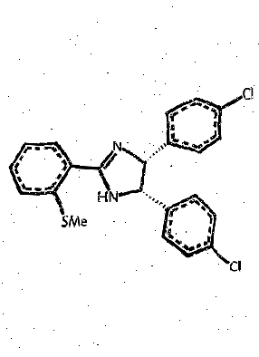 CSc1ccccc1C1=N[C@H](c2ccc(Cl)cc2)[C@H](c2ccc(Cl)cc2)N1